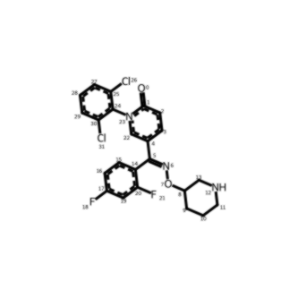 O=c1ccc(C(=NOC2CCCNC2)c2ccc(F)cc2F)cn1-c1c(Cl)cccc1Cl